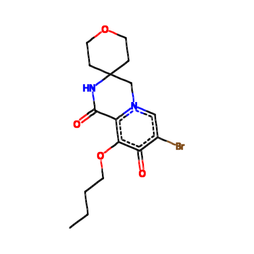 CCCCOc1c2n(cc(Br)c1=O)CC1(CCOCC1)NC2=O